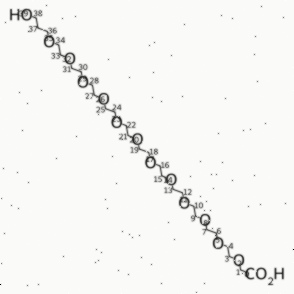 O=C(O)COCCOCCOCCOCCOCCOCCOCCOCCOCCOCCOCCOCCCO